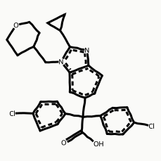 O=C(O)C(c1ccc(Cl)cc1)(c1ccc(Cl)cc1)c1ccc2nc(C3CC3)n(CC3CCOCC3)c2c1